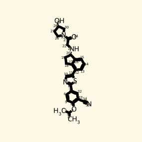 CC(C)Oc1ccc(-c2ncc(-c3cccc4c3CC[C@@H]4NCC(=O)N3CC[C@@H](O)C3)s2)cc1C#N